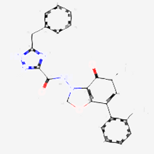 Cc1ccccc1C1=C[C@H](C)C(=O)C2=C1OCN2NC(=O)c1n[nH]c(Cc2ccccc2)n1